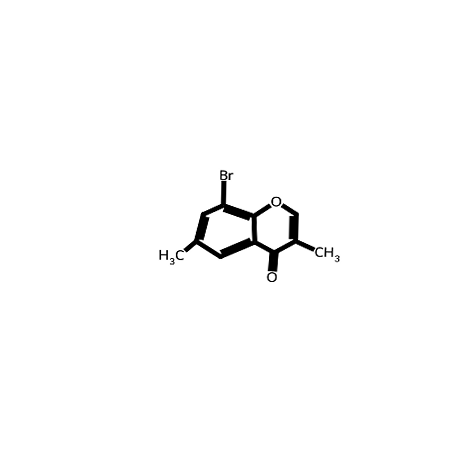 Cc1cc(Br)c2occ(C)c(=O)c2c1